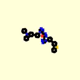 c1ccc(-n2c3ccccc3c3cc(-c4cccc(-n5cnnc5-c5nnc(-c6nncn6-c6cccc(-c7ccc8sc9ccccc9c8c7)c6)o5)c4)ccc32)cc1